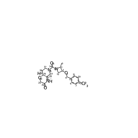 CC1C(OCc2ccc(C(F)(F)F)cc2)CN1C(=O)N1CC[C@@H]2OCC(=O)N[C@]2(C)C1